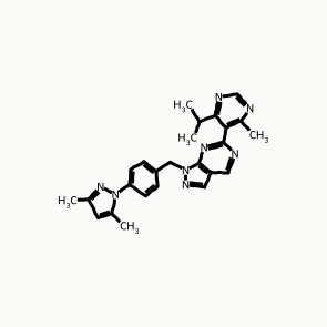 Cc1cc(C)n(-c2ccc(Cn3ncc4cnc(-c5c(C)ncnc5C(C)C)nc43)cc2)n1